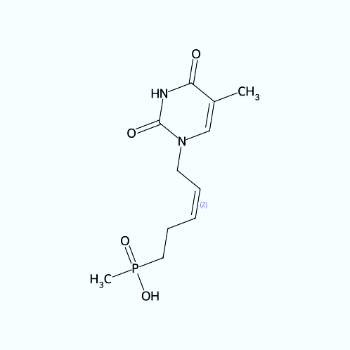 Cc1cn(C/C=C\CCP(C)(=O)O)c(=O)[nH]c1=O